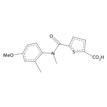 COc1ccc(N(C)C(=O)c2ccc(C(=O)O)s2)c(C)c1